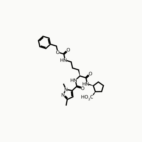 Cc1cc(C(=O)N[C@@H](CCCNC(=O)OCc2ccccc2)C(=O)N[C@H]2CCC[C@H]2C(=O)O)n(C)n1